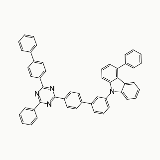 c1ccc(-c2ccc(-c3nc(-c4ccccc4)nc(-c4ccc(-c5cccc(-n6c7ccccc7c7c(-c8ccccc8)cccc76)c5)cc4)n3)cc2)cc1